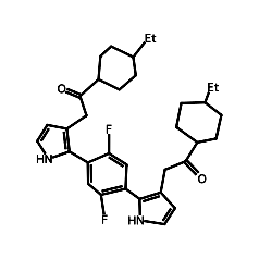 CCC1CCC(C(=O)Cc2cc[nH]c2-c2cc(F)c(-c3[nH]ccc3CC(=O)C3CCC(CC)CC3)cc2F)CC1